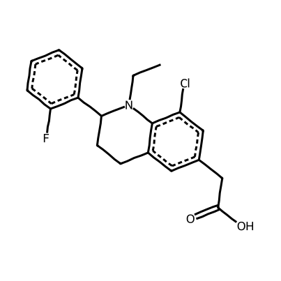 CCN1c2c(Cl)cc(CC(=O)O)cc2CCC1c1ccccc1F